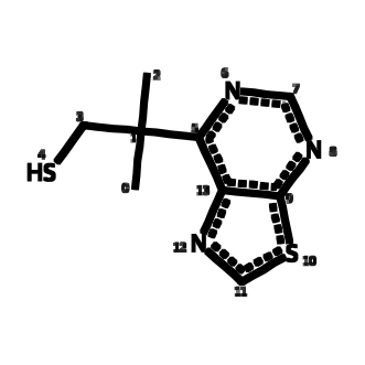 CC(C)(CS)c1ncnc2scnc12